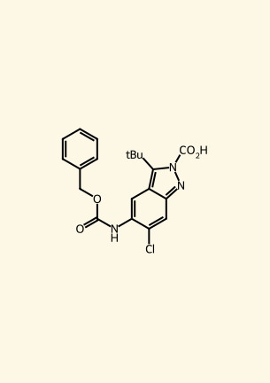 CC(C)(C)c1c2cc(NC(=O)OCc3ccccc3)c(Cl)cc2nn1C(=O)O